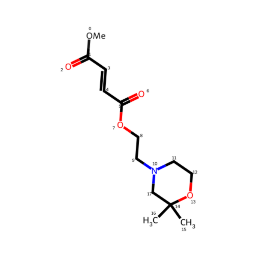 COC(=O)C=CC(=O)OCCN1CCOC(C)(C)C1